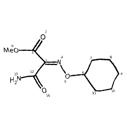 COC(=O)C(=NOC1CCCCC1)C(N)=O